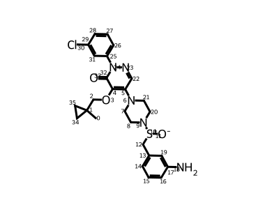 CC1(COc2c(N3CCN([S+]([O-])Cc4cccc(N)c4)CC3)cnn(-c3cccc(Cl)c3)c2=O)CC1